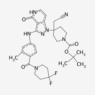 Cc1cc(Nc2nn(C3(CC#N)CCN(C(=O)OC(C)(C)C)CC3)c3cc[nH]c(=O)c23)ccc1C(=O)N1CCC(F)(F)CC1